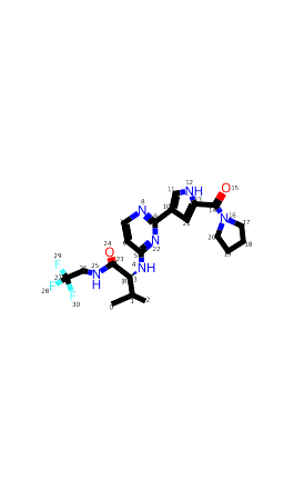 CC(C)[C@@H](Nc1ccnc(-c2c[nH]c(C(=O)N3CCCC3)c2)n1)C(=O)NCC(F)(F)F